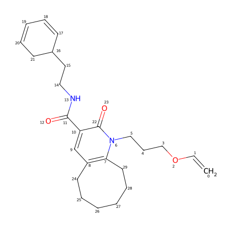 C=COCCCn1c2c(cc(C(=O)NCCC3C=CC=CC3)c1=O)CCCCCC2